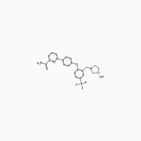 NC(=O)c1cccc(-c2ccc(Oc3ccc(C(F)(F)F)cc3CN3CC[C@H](O)C3)cc2)n1